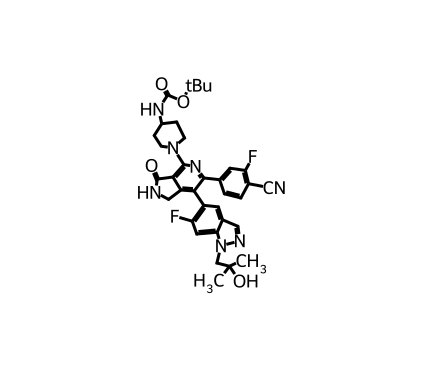 CC(C)(O)Cn1ncc2cc(-c3c(-c4ccc(C#N)c(F)c4)nc(N4CCC(NC(=O)OC(C)(C)C)CC4)c4c3CNC4=O)c(F)cc21